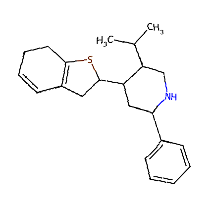 CC(C)C1CNC(c2ccccc2)CC1C1CC2=C(CCC=C2)S1